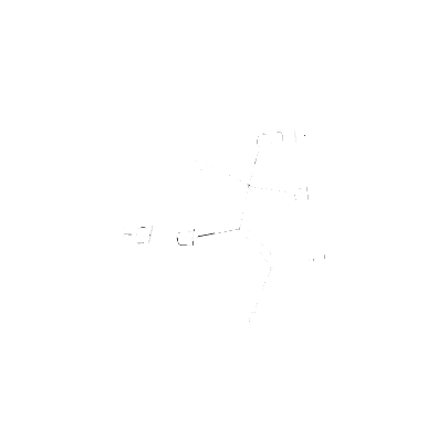 Cl.O=C(O)C(Cl)(Cl)C(Cl)=C(Cl)Cl